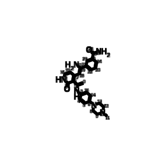 C=C(Nc1ccc(N2CCN(C)CC2)cc1)c1c(/C=C(\N)c2cccc(C(N)=O)c2)cc[nH]c1=O